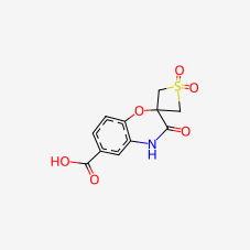 O=C(O)c1ccc2c(c1)NC(=O)C1(CS(=O)(=O)C1)O2